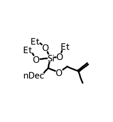 C=C(C)COC(CCCCCCCCCC)[Si](OCC)(OCC)OCC